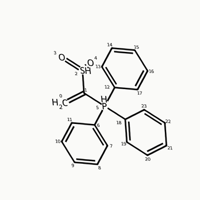 C=C([SH](=O)=O)[PH](c1ccccc1)(c1ccccc1)c1ccccc1